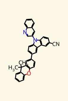 CC1(C)c2ccccc2Oc2ccc(-c3ccc4c(c3)c3cc(C#N)ccc3n4-c3cnc4ccccc4c3)cc21